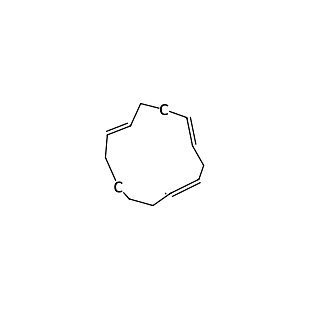 [C]1=C/C/C=C/CC/C=C/CCCC/1